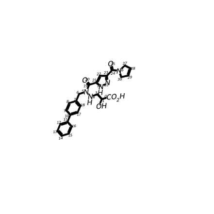 O=C(O)C(O)CNN(Cc1ccc(-c2ccccc2)cc1)C(=O)c1cc(C(=O)N2CC=CC2)n[nH]1